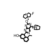 CCc1cccc2cc(O)cc(-c3ncc4c(N5CC6CCC(C5)N6)nc(OC[C@@]56CCCN5C[C@H](F)C6)nc4n3)c12